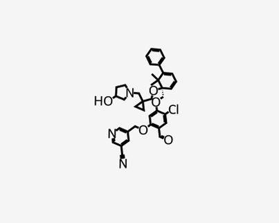 CC1(C)C(c2ccccc2)=CC=C[C@@]1(COc1cc(OCc2cncc(C#N)c2)c(C=O)cc1Cl)OCC1(CN2CCC(O)C2)CC1